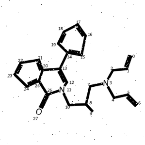 C=CCN(CC=C)CC(C)Cn1cc(-c2ccccc2)c2ccccc2c1=O